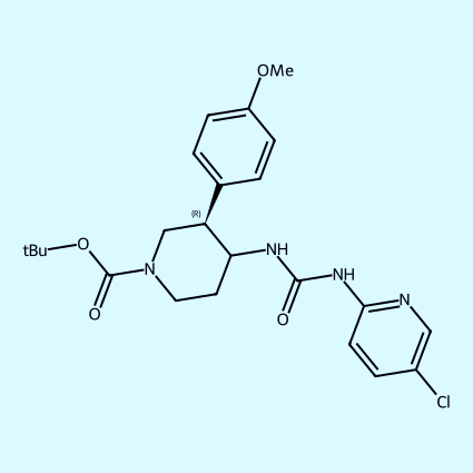 COc1ccc([C@@H]2CN(C(=O)OC(C)(C)C)CCC2NC(=O)Nc2ccc(Cl)cn2)cc1